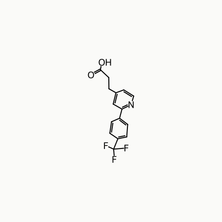 O=C(O)CCc1ccnc(-c2ccc(C(F)(F)F)cc2)c1